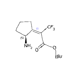 CC(C)(C)OC(=O)/C(=C1/CCC[C@@H]1N)C(F)(F)F